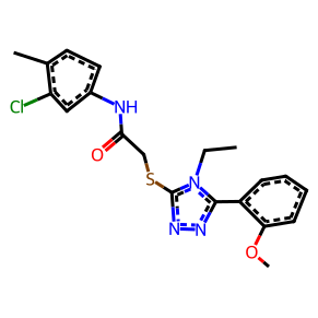 CCn1c(SCC(=O)Nc2ccc(C)c(Cl)c2)nnc1-c1ccccc1OC